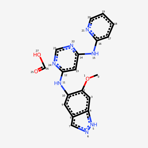 COc1cc2[nH]ncc2cc1Nc1cc(Nc2ccccn2)ncn1.O=CO